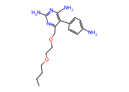 CCCCOCCOCc1nc(N)nc(N)c1-c1ccc(N)cc1